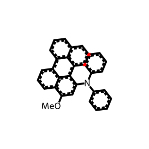 COc1cc(N(c2ccccc2)c2ccccc2)c2c3cccc4cccc(c5cccc1c52)c43